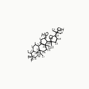 CC1C2CCC3C4CC(O)C(C5(C)CCC(C(C)(C)O)O5)C4(C)CCC34C(C)C24CCC1(F)F